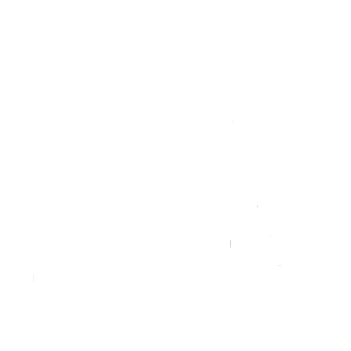 CCCCCc1ccc(-c2cc3ccccc3o2)c(OC(F)(F)F)c1